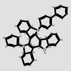 c1ccc(-c2ccc(-n3c4ccccc4c4c5c(c6ccccc6n5-c5ccccc5)c5oc6ccccc6c5c43)cc2)cc1